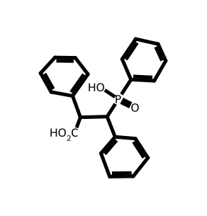 O=C(O)C(c1ccccc1)C(c1ccccc1)P(=O)(O)c1ccccc1